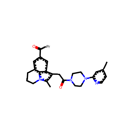 Cc1ccnc(N2CCN(C(=O)Cc3c(C)n4c5c(cc(C(=O)C(C)C)cc35)CCC4)CC2)c1